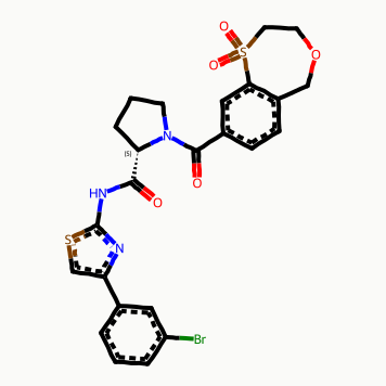 O=C(Nc1nc(-c2cccc(Br)c2)cs1)[C@@H]1CCCN1C(=O)c1ccc2c(c1)S(=O)(=O)CCOC2